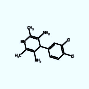 CC1=C(N)C(c2ccc(Cl)c(Cl)c2)C(N)=C(C)N1